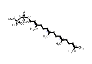 COP(=O)(O)OP(=O)(OC)OC/C=C(\C)CC/C=C(\C)CC/C=C(\C)CCC=C(C)C